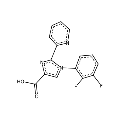 O=C(O)c1cn(-c2cccc(F)c2F)c(-c2ccccn2)n1